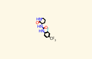 O=C(Nc1ccc(C(F)(F)F)cc1F)N[C@@H]1CCCNC1=O